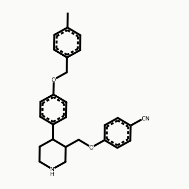 Cc1ccc(COc2ccc(C3CCNCC3COc3ccc(C#N)cc3)cc2)cc1